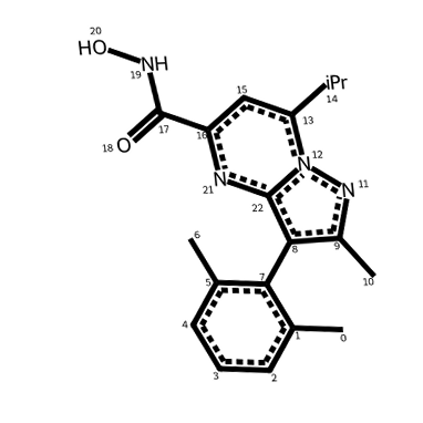 Cc1cccc(C)c1-c1c(C)nn2c(C(C)C)cc(C(=O)NO)nc12